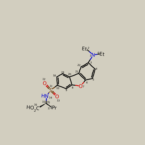 CCN(CC)c1ccc2oc3cc(S(=O)(=O)N[C@H](C(=O)O)C(C)C)ccc3c2c1